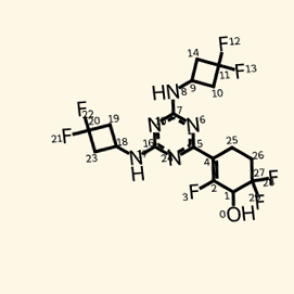 OC1C(F)=C(c2nc(NC3CC(F)(F)C3)nc(NC3CC(F)(F)C3)n2)CCC1(F)F